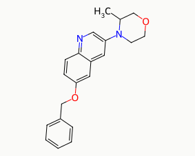 CC1COCCN1c1cnc2ccc(OCc3ccccc3)cc2c1